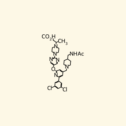 CC(=O)NCC1CCN(Cc2cc(Oc3cnc(N4CCN(C(C)CC(=O)O)CC4)nc3)nc(-c3cc(Cl)cc(Cl)c3)c2)CC1